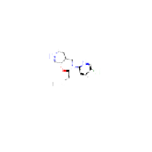 CCC(=O)N(CC1CCNCC1)c1ccc(Cl)cn1